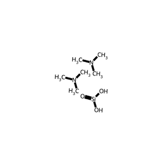 CN(C)C.CN(C)C.O=[Si](O)O